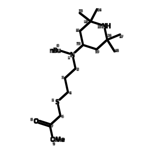 CCCCN(CCCSCC(=O)OC)C1CC(C)(C)NC(C)(C)C1